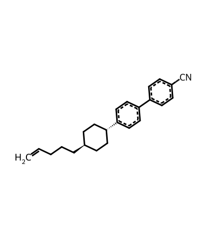 C=CCCC[C@H]1CC[C@H](c2ccc(-c3ccc(C#N)cc3)cc2)CC1